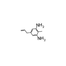 C=CCc1cc(N)c(C)c(N)c1